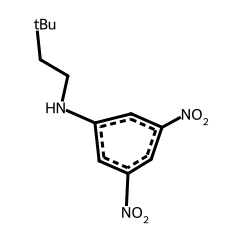 CC(C)(C)CCNc1cc([N+](=O)[O-])cc([N+](=O)[O-])c1